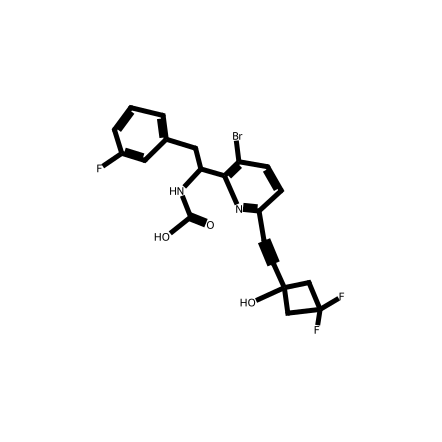 O=C(O)NC(Cc1cccc(F)c1)c1nc(C#CC2(O)CC(F)(F)C2)ccc1Br